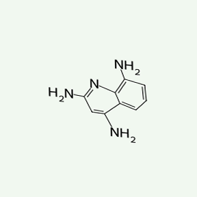 Nc1cc(N)c2cccc(N)c2n1